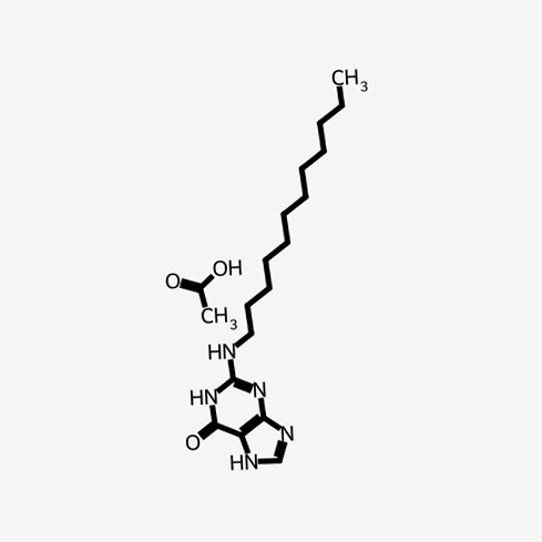 CC(=O)O.CCCCCCCCCCCCNc1nc2nc[nH]c2c(=O)[nH]1